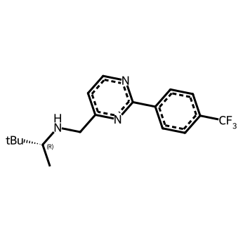 C[C@@H](NCc1ccnc(-c2ccc(C(F)(F)F)cc2)n1)C(C)(C)C